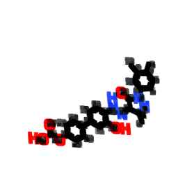 CC1=NN(c2ccc(C)c(C)c2)C(=O)C1=NNc1ccc(-c2ccc(OC(=O)O)cc2)cc1O